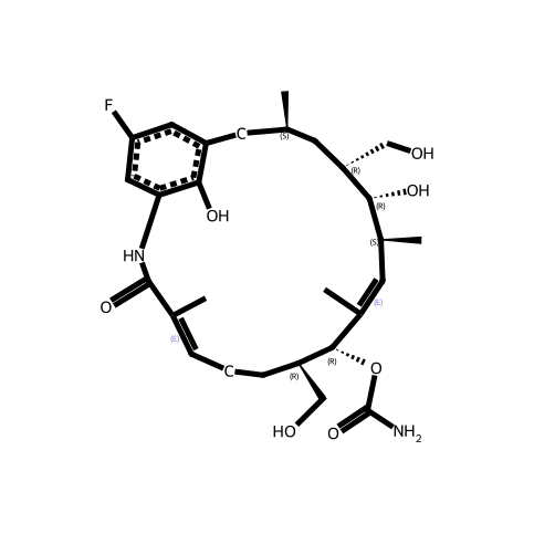 C/C1=C\CC[C@H](CO)[C@@H](OC(N)=O)/C(C)=C/[C@H](C)[C@@H](O)[C@@H](CO)C[C@H](C)Cc2cc(F)cc(c2O)NC1=O